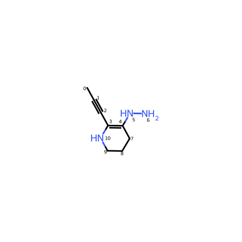 CC#CC1=C(NN)CCCN1